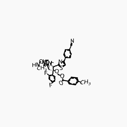 CNC.Cc1ccc(C(=O)OCO[C@@](Cn2cncn2)(c2ccc(F)cc2F)[C@@H](C)c2nc(-c3ccc(C#N)cc3)cs2)cc1